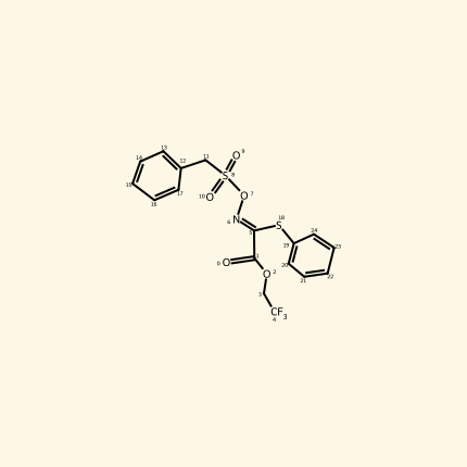 O=C(OCC(F)(F)F)/C(=N/OS(=O)(=O)Cc1ccccc1)Sc1ccccc1